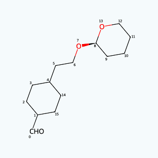 O=CC1CCC(CCO[C@@H]2CCCCO2)CC1